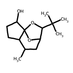 CC1CC2OC3(OC2C(C)(C)C)C(O)CCC13